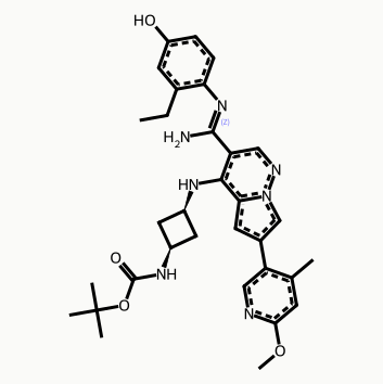 CCc1cc(O)ccc1/N=C(\N)c1cnn2cc(-c3cnc(OC)cc3C)cc2c1N[C@H]1C[C@@H](NC(=O)OC(C)(C)C)C1